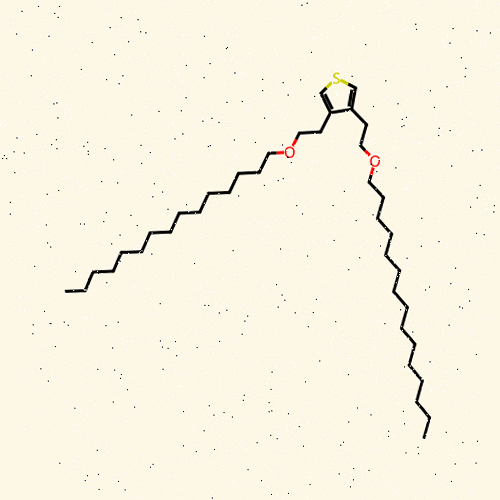 CCCCCCCCCCCCCCCOCCc1cscc1CCOCCCCCCCCCCCCCCC